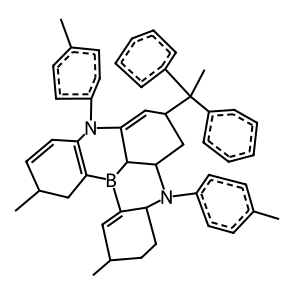 Cc1ccc(N2C3=CC(C(C)(c4ccccc4)c4ccccc4)CC4C3B(C3=CC(C)CCC3N4c3ccc(C)cc3)C3=C2C=CC(C)C3)cc1